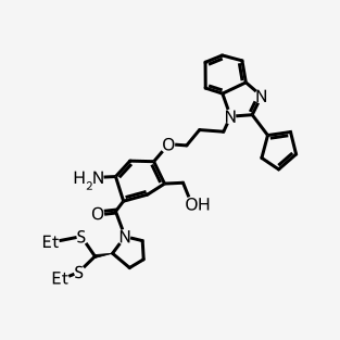 CCSC(SCC)[C@@H]1CCCN1C(=O)c1cc(CO)c(OCCCn2c(C3=CC=CC3)nc3ccccc32)cc1N